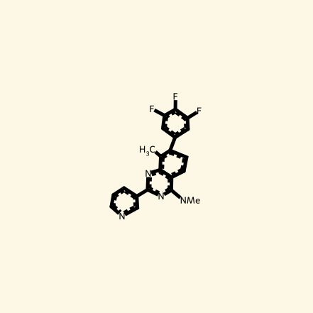 CNc1nc(-c2cccnc2)nc2c(C)c(-c3cc(F)c(F)c(F)c3)ccc12